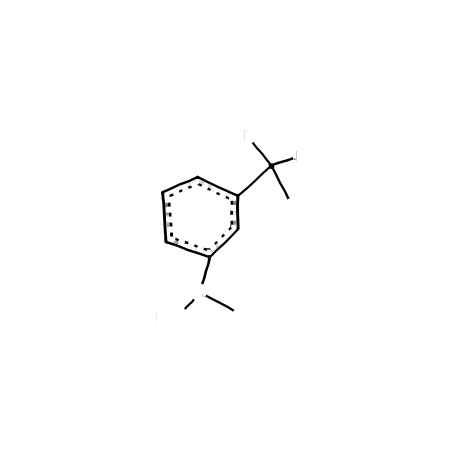 C[S+]([O-])c1c[c]cc(C(F)(F)F)c1